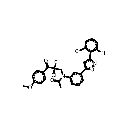 COc1ccc(C(=O)C(Cl)(Cl)CN(C(C)=O)c2cccc(-c3cc(-c4c(Cl)cccc4Cl)no3)c2)cc1